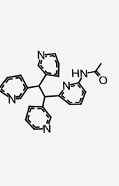 CC(=O)Nc1cccc(C(c2cccnc2)C(c2cccnc2)c2cccnc2)n1